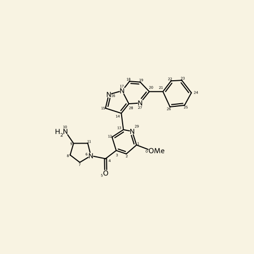 COc1cc(C(=O)N2CCC(N)C2)cc(-c2cnn3ccc(-c4ccccc4)nc23)n1